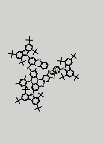 Cc1cc(C)c(N2c3cc4c(cc3B3c5cc6c(cc5Oc5cc(-n7c8c(C(C)(C)C)cc(C(C)(C)C)cc8c8cc(C(C)(C)C)cc(C(C)(C)C)c87)cc2c53)Oc2cc(-n3c5c(C(C)(C)C)cc(C(C)(C)C)cc5c5cc(C(C)(C)C)cc(C(C)(C)C)c53)cc3c2B6c2ccccc2O3)B2c3ccccc3Oc3cc(-n5c6c(C(C)(C)C)cc(C(C)(C)C)cc6c6cc(C(C)(C)C)cc(C(C)(C)C)c65)cc(c32)N4)c(C)c1